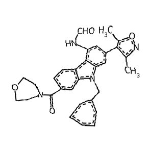 Cc1noc(C)c1-c1cc(NC=O)c2c3ccc(C(=O)N4CCOCC4)cc3n(Cc3ccccc3)c2c1